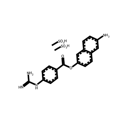 CS(=O)(=O)O.CS(=O)(=O)O.N=C(N)Nc1ccc(C(=O)Oc2ccc3cc(N)ccc3c2)cc1